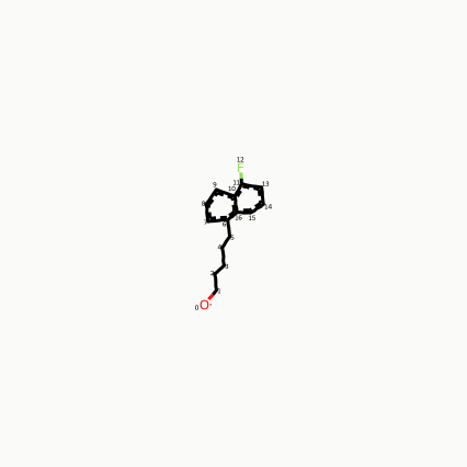 [O]CCCCCc1cccc2c(F)cccc12